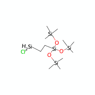 C[Si](C)(C)O[Si](CC[SiH2]Cl)(O[Si](C)(C)C)O[Si](C)(C)C